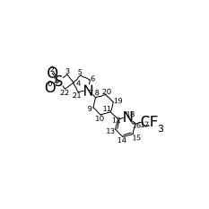 O=S1(=O)CC2(CCN(C3CCC(c4cccc(C(F)(F)F)n4)CC3)C2)C1